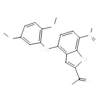 COc1ccc(OC)c(Nc2ccc([N+](=O)[O-])c3[nH]c(C(=O)O)cc23)c1